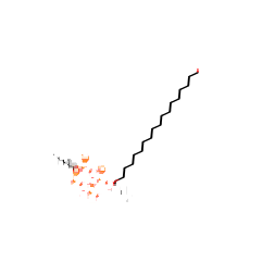 C.CCCCCCCCCCCCCCCCCCCO.O=[PH]([O-])O[PH](=O)[O-].O=[PH]([O-])O[PH](=O)[O-].[Na+].[Na+].[Na+].[Na+]